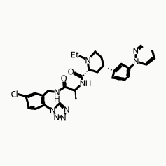 C=NN(/C=C\C)c1cccc([C@H]2CCN(CC)[C@@H](C(=O)N[C@@H](C)C(=O)NCc3cc(Cl)ccc3-n3cnnn3)C2)c1